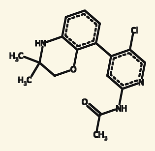 CC(=O)Nc1cc(-c2cccc3c2OCC(C)(C)N3)c(Cl)cn1